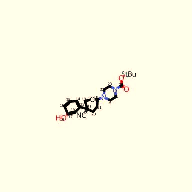 CC(C)(C)OC(=O)N1CCN(C2CCC(C#N)(c3cccc(O)c3)CC2)CC1